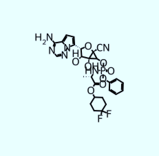 C[C@H](N[P@@](=O)(Oc1ccccc1)OC1[C@@]2(C#N)O[C@@H](c3ccc4c(N)ncnn34)[C@H](O)[C@@]12O)C(=O)OC1CCC(F)(F)CC1